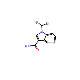 CCC(CC)n1cc(C(N)=O)c2ccccc21